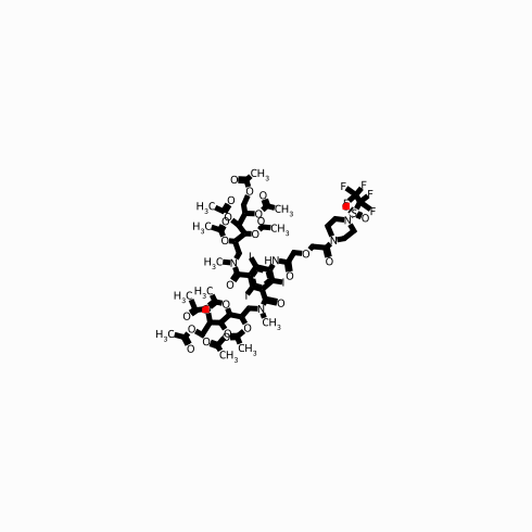 CC(=O)OCC(OC(C)=O)C(OC(C)=O)C(OC(C)=O)C(CN(C)C(=O)c1c(I)c(NC(=O)COCC(=O)N2CCN(S(=O)(=O)C(F)(F)C(F)(F)F)CC2)c(I)c(C(=O)N(C)CC(OC(C)=O)C(OC(C)=O)C(OC(C)=O)C(COC(C)=O)OC(C)=O)c1I)OC(C)=O